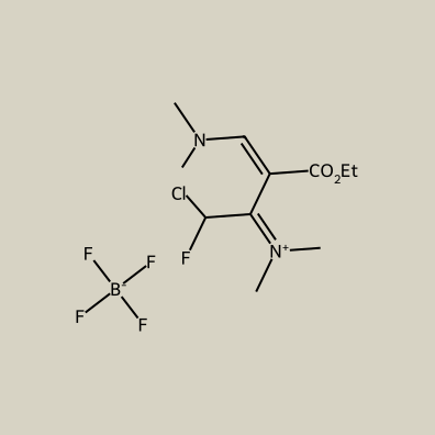 CCOC(=O)/C(=C/N(C)C)C(C(F)Cl)=[N+](C)C.F[B-](F)(F)F